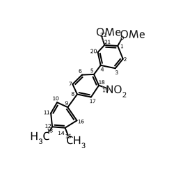 COc1ccc(-c2ccc(-c3ccc(C)c(C)c3)cc2[N+](=O)[O-])cc1OC